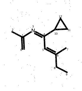 C=C(C)/N=C(\C=C(/C)CC)C1CC1